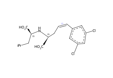 CC(C)C[C@H](N[C@@H](C/C=C\c1cc(Cl)cc(Cl)c1)C(=O)O)C(=O)O